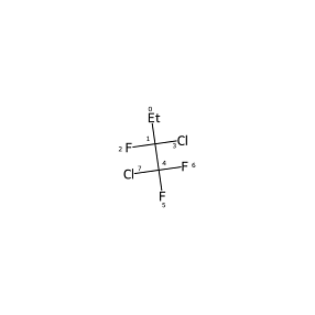 [CH2]CC(F)(Cl)C(F)(F)Cl